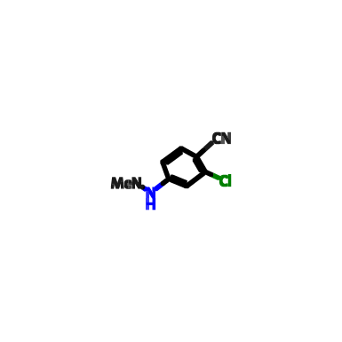 CNNc1ccc(C#N)c(Cl)c1